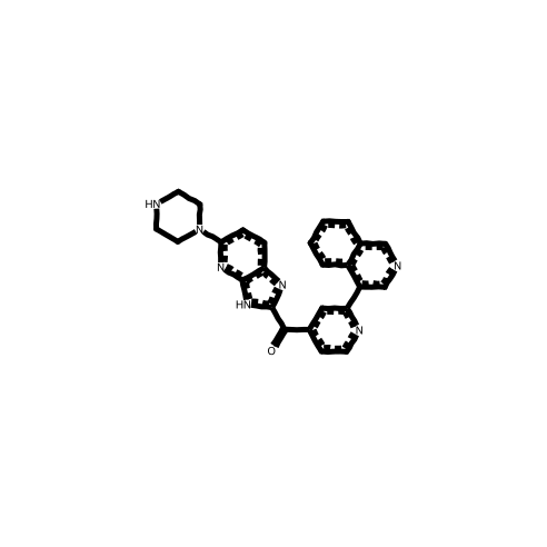 O=C(c1ccnc(-c2cncc3ccccc23)c1)c1nc2ccc(N3CCNCC3)nc2[nH]1